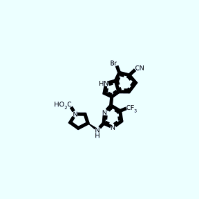 N#Cc1ccc2c(-c3nc(N[C@H]4CCN(C(=O)O)C4)ncc3C(F)(F)F)c[nH]c2c1Br